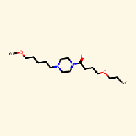 CC(C)CCOCCCC(=O)N1CCN(CCCCCOC(C)C)CC1